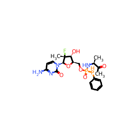 CC(=O)[C@H](C)NP(=O)(OC[C@H]1O[C@@H](n2ccc(N)nc2=O)[C@](C)(F)[C@@H]1O)Pc1ccccc1